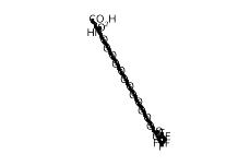 O=C(O)CCCC(=O)NCCOCCOCCOCCOCCOCCOCCOCCOCCOCCOCCOCCOCCC(=O)Oc1c(F)c(F)c(F)c(F)c1F